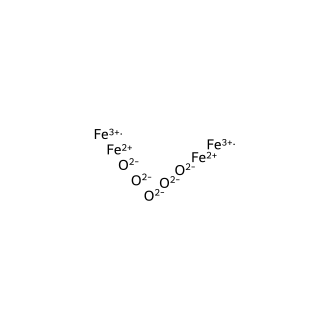 [Fe+2].[Fe+2].[Fe+3].[Fe+3].[O-2].[O-2].[O-2].[O-2].[O-2]